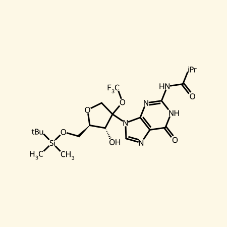 CC(C)C(=O)Nc1nc2c(ncn2C2(OC(F)(F)F)CO[C@H](CO[Si](C)(C)C(C)(C)C)[C@H]2O)c(=O)[nH]1